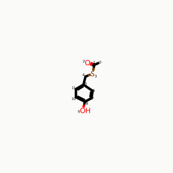 CC(=O)SCc1ccc(O)cc1